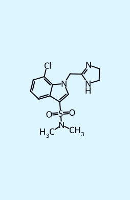 CN(C)S(=O)(=O)c1cn(CC2=NCCN2)c2c(Cl)cccc12